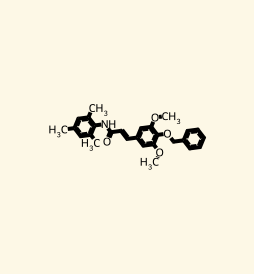 COc1cc(C=CC(=O)Nc2c(C)cc(C)cc2C)cc(OC)c1OCc1ccccc1